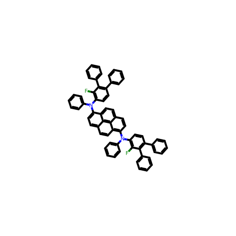 Fc1c(N(c2ccccc2)c2ccc3ccc4c(N(c5ccccc5)c5ccc(-c6ccccc6)c(-c6ccccc6)c5F)ccc5ccc2c3c54)ccc(-c2ccccc2)c1-c1ccccc1